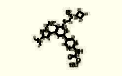 CN(C)c1cc(-c2cc(-c3cnc(NC(=O)OC(C)(C)C)nc3)nc(SC[S@+]([O-])C3CCC3)c2C#N)n(C)n1